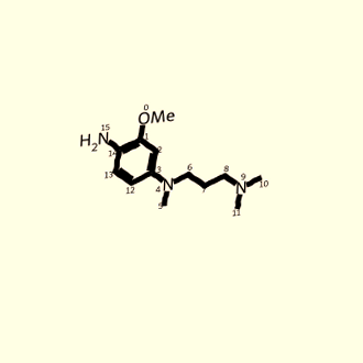 COc1cc(N(C)CCCN(C)C)ccc1N